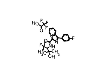 CC(C)(O)C(NC(=O)c1nc(-c2ccc(F)cc2)c2ccccn12)C(F)(F)F.O=C(O)C(F)(F)F